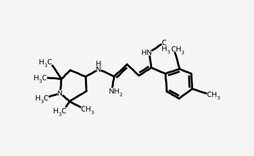 CN/C(=C\C=C(/N)NC1CC(C)(C)N(C)C(C)(C)C1)c1ccc(C)cc1C